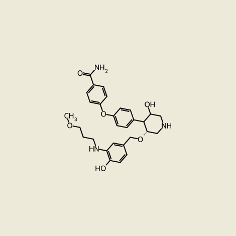 COCCCNc1cc(CO[C@H]2CNCC(O)C2c2ccc(Oc3ccc(C(N)=O)cc3)cc2)ccc1O